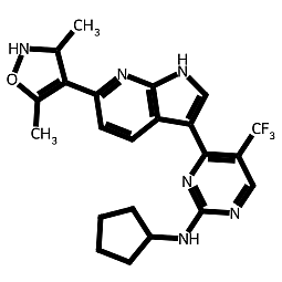 CC1=C(c2ccc3c(-c4nc(NC5CCCC5)ncc4C(F)(F)F)c[nH]c3n2)C(C)NO1